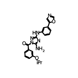 CC(C)Oc1cccc(C(=O)n2nc(Nc3cccc(-c4cnco4)c3)nc2N)c1